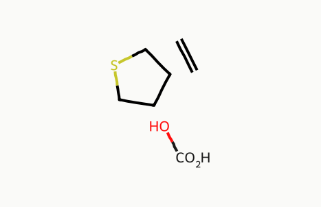 C1CCSC1.C=C.O=C(O)O